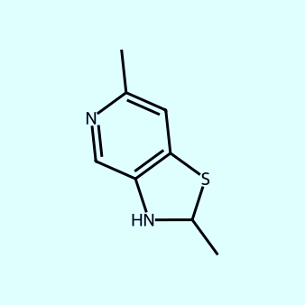 Cc1cc2c(cn1)NC(C)S2